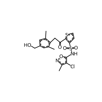 Cc1cc(CO)cc(C)c1CC(=O)c1sccc1S(=O)(=O)Nc1onc(C)c1Cl